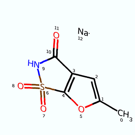 Cc1cc2c(o1)S(=O)(=O)NC2=O.[Na]